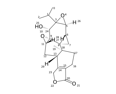 CC(C)C12O[C@H]1[C@@H]1C[C@]13[C@]1(O[C@H]1C[C@H]1C4=C(CC[C@@]13C)C(=O)OC4)[C@@H]2O